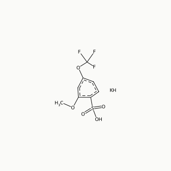 COc1cc(OC(F)(F)F)ccc1S(=O)(=O)O.[KH]